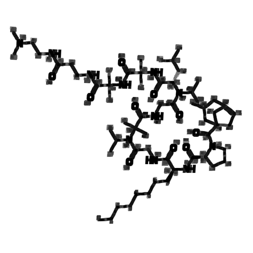 CCCCCCCC[C@H](NC(=O)[C@@H]1CCCN1C(=O)C12CC=C(CC(C)C1)C2)C(=O)NCC(=O)N(C(C)C)C(C)(C)C(=O)NCC(=O)N(C(C)C)[C@@H](CC(C)C)C(=O)NC(C)(C)C(=O)NC(C)(C)C(=O)NCCC(=O)NCCN(C)C